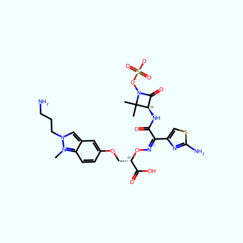 C[n+]1c2ccc(OC[C@H](O/N=C(\C(=O)N[C@@H]3C(=O)N(OS(=O)(=O)[O-])C3(C)C)c3csc(N)n3)C(=O)O)cc2cn1CCCN